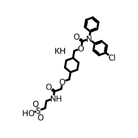 O=C(COCC1CCC(COC(=O)N(c2ccccc2)c2ccc(Cl)cc2)CC1)NCCS(=O)(=O)O.[KH]